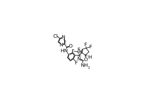 NC1=N[C@@](c2cc(NC(=O)c3cnc(Cl)cn3)ccc2F)(C(F)F)[C@H]2CC(F)(F)C[C@H]2O1